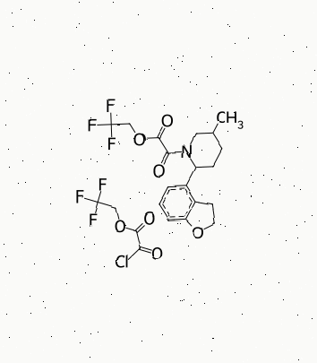 CC1CCC(c2cccc3c2CCO3)N(C(=O)C(=O)OCC(F)(F)F)C1.O=C(Cl)C(=O)OCC(F)(F)F